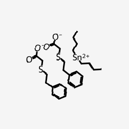 CCC[CH2][Sn+2][CH2]CCC.O=C([O-])CSCCc1ccccc1.O=C([O-])CSCCc1ccccc1